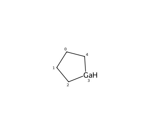 C1C[CH2][GaH][CH2]1